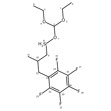 CCOC(OCC)O[SiH2]CC(C)Cc1c(F)c(F)c(F)c(F)c1F